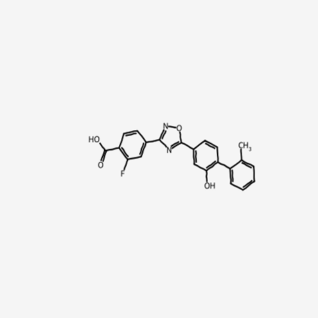 Cc1ccccc1-c1ccc(-c2nc(-c3ccc(C(=O)O)c(F)c3)no2)cc1O